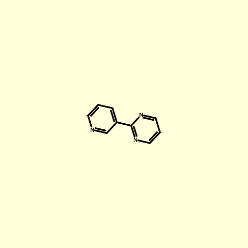 [c]1cnc(-c2cc[c]nc2)nc1